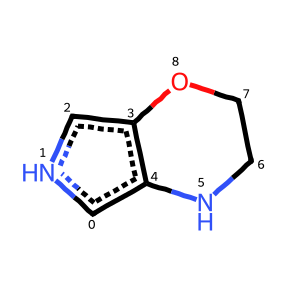 c1[nH]cc2c1NCCO2